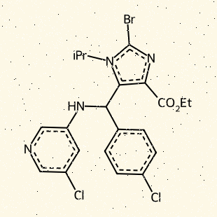 CCOC(=O)c1nc(Br)n(C(C)C)c1C(Nc1cncc(Cl)c1)c1ccc(Cl)cc1